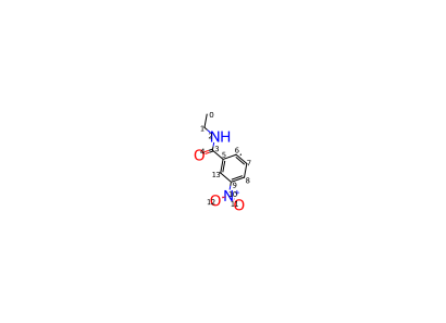 CCNC(=O)c1[c]ccc([N+](=O)[O-])c1